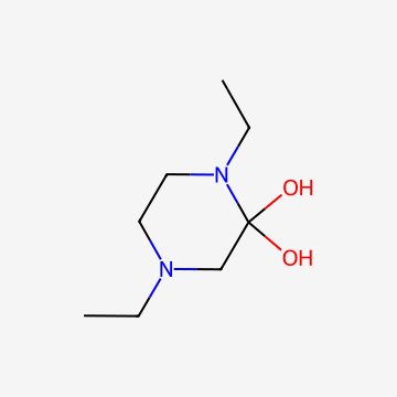 CCN1CCN(CC)C(O)(O)C1